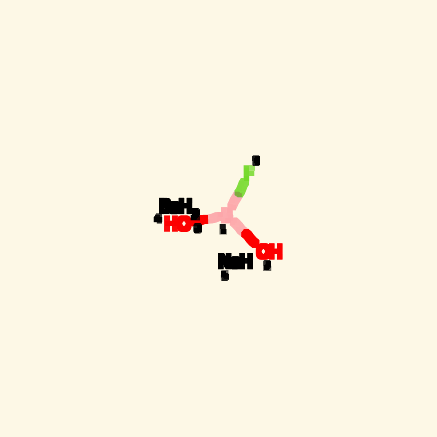 OB(O)F.[BaH2].[NaH]